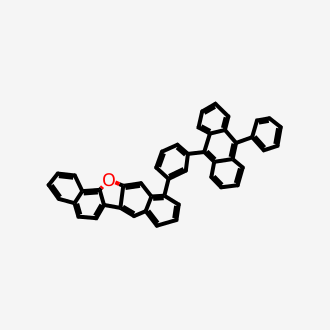 c1ccc(-c2c3ccccc3c(-c3cccc(-c4cccc5cc6c(cc45)oc4c5ccccc5ccc64)c3)c3ccccc23)cc1